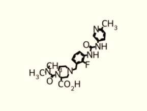 Cc1ccc(NC(=O)Nc2cccc(CN3CCN(C(=O)N(C)C)C(C(=O)O)C3)c2F)cn1